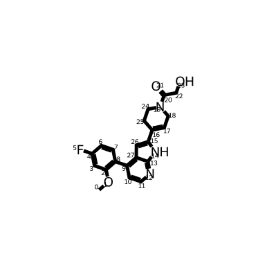 COc1cc(F)ccc1-c1ccnc2[nH]c(C3=CCN(C(=O)CO)CC3)cc12